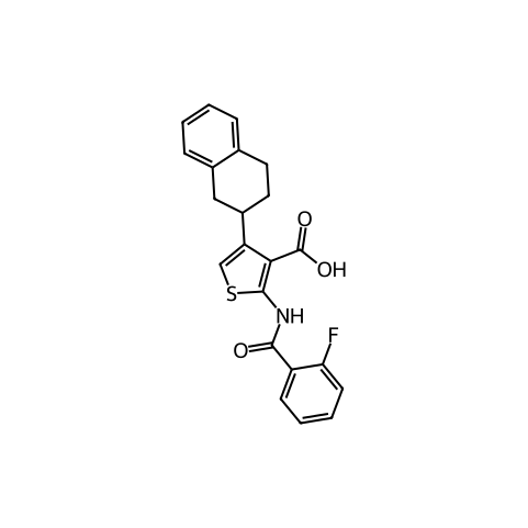 O=C(Nc1scc(C2CCc3ccccc3C2)c1C(=O)O)c1ccccc1F